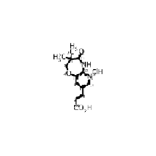 CC1(C)COc2cc(C=CC(=O)O)cnc2NC1=O.Cl